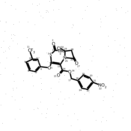 CC(C)(C)C(=O)SC(Oc1cccc(C(F)(F)F)c1)=C(C(=O)OCc1ccc([N+](=O)[O-])cc1)N1C(=O)CC1Cl